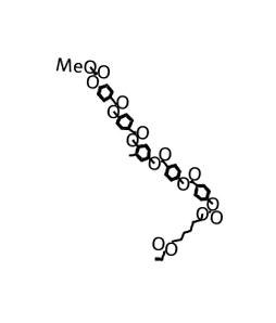 C=CC(=O)OCCCCCCOC(=O)Oc1ccc(C(=O)Oc2ccc(C(=O)Oc3ccc(OC(=O)c4ccc(OC(=O)c5ccc(OC(=O)OC)cc5)cc4)c(C)c3)cc2)cc1